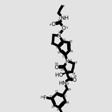 CCNC(=O)ON1CCc2cc(N3CC[C@](O)(C(=O)NCc4cc(F)cc(Cl)c4)C3=O)ccc21